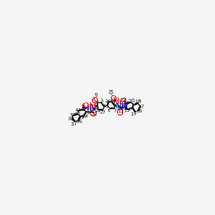 COc1cc(-c2ccc(NC(=O)c3cc4ccccc4cc3O)c(OC)c2)ccc1NC(=O)c1cc2ccccc2cc1O